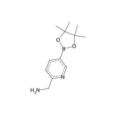 CC1(C)OB(c2ccc(CN)nc2)OC1(C)C